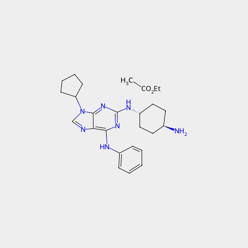 CCOC(C)=O.N[C@H]1CC[C@H](Nc2nc(Nc3ccccc3)c3ncn(C4CCCC4)c3n2)CC1